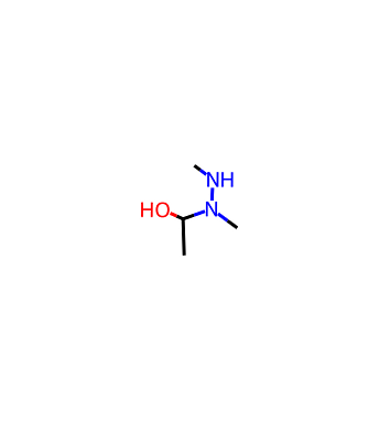 CNN(C)C(C)O